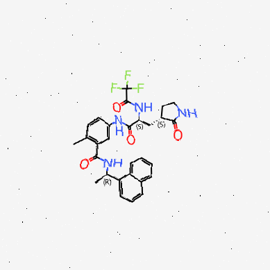 Cc1ccc(NC(=O)[C@H](C[C@@H]2CCNC2=O)NC(=O)C(F)(F)F)cc1C(=O)N[C@H](C)c1cccc2ccccc12